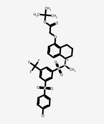 CN([C@@H]1CCCc2c(OCC(=O)OC(C)(C)C)cccc21)S(=O)(=O)c1cc(C(F)(F)F)cc(S(=O)(=O)c2ccc(Cl)cc2)c1